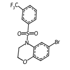 O=S(=O)(c1cccc(C(F)(F)F)c1)N1CCOc2ccc(Br)cc21